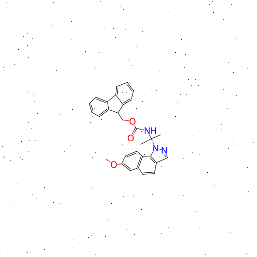 COc1ccc2c(ccc3cnn(C(C)(C)NC(=O)OCC4c5ccccc5-c5ccccc54)c32)c1